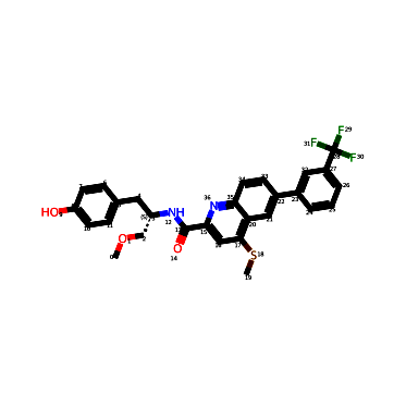 COC[C@H](Cc1ccc(O)cc1)NC(=O)c1cc(SC)c2cc(-c3cccc(C(F)(F)F)c3)ccc2n1